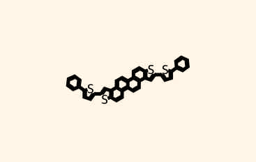 c1ccc(-c2ccc(-c3cc4c(ccc5c4ccc4c6ccc7sc(-c8ccc(-c9ccccc9)s8)cc7c6ccc54)s3)s2)cc1